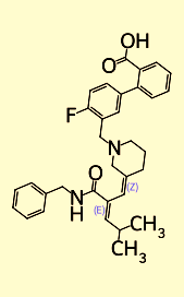 CC(C)/C=C(\C=C1\CCCN(Cc2cc(-c3ccccc3C(=O)O)ccc2F)C1)C(=O)NCc1ccccc1